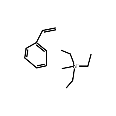 C=Cc1ccccc1.CC[N+](C)(CC)CC